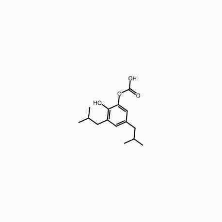 CC(C)Cc1cc(CC(C)C)c(O)c(OC(=O)O)c1